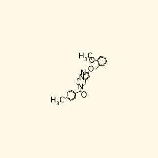 COc1ccccc1COc1cc2n(n1)CCN(C(=O)c1ccc(C)cc1)C2